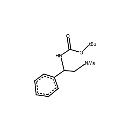 CNCC(NC(=O)OC(C)(C)C)c1ccccc1